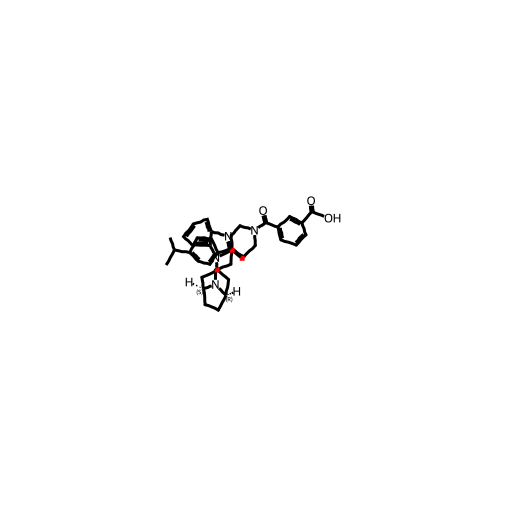 Cc1nc2ccccc2n1C1C[C@H]2CC[C@@H](C1)N2CCC1(c2ccc(C(C)C)cc2)CCN(C(=O)c2cccc(C(=O)O)c2)CC1